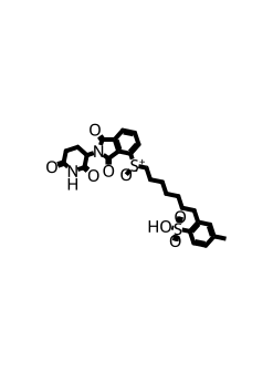 Cc1ccc(S(=O)(=O)O)c(CCCCCCC[S+]([O-])c2cccc3c2C(=O)N(C2CCC(=O)NC2=O)C3=O)c1